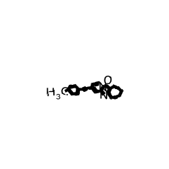 Cc1ccc(C#Cc2ccn3c(=O)c4c(nc3c2)CCCCCC4)cc1